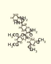 COc1cc(CN(Cc2cc(OC)cc(OC)c2)C(=O)C(C(N)=O)c2ccc(C(=O)Nc3ccccc3N)cc2)cc(OC)c1